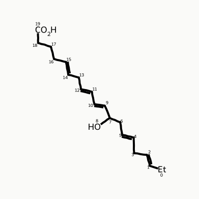 CCC=CCC=CCC(O)C=CC=CCC=CCCCC(=O)O